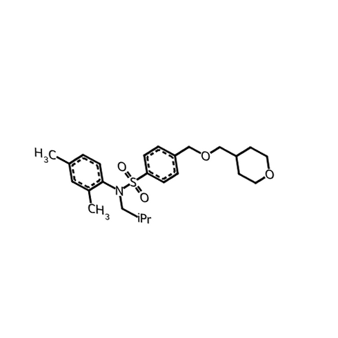 Cc1ccc(N(CC(C)C)S(=O)(=O)c2ccc(COCC3CCOCC3)cc2)c(C)c1